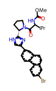 COC(=O)NC(C(=O)N1CCC[C@H]1c1nc(-c2ccc3c(ccc4cc(Br)ccc43)c2)c[nH]1)C(C)C